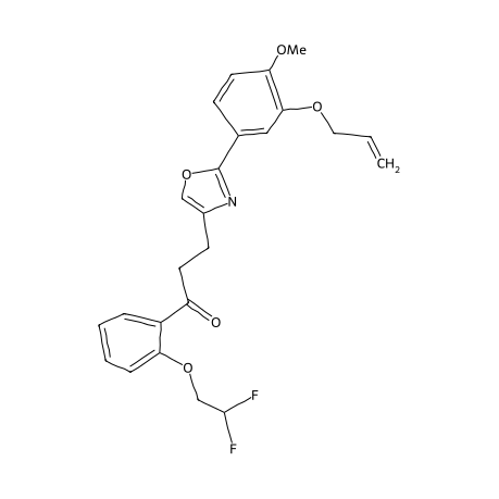 C=CCOc1cc(-c2nc(CCC(=O)c3ccccc3OCC(F)F)co2)ccc1OC